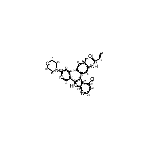 C=CC(=O)Nc1cc(-c2c(-c3ccc(N4CCOCC4)nc3)[nH]c3nccc(Cl)c23)ccc1C